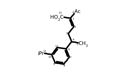 CC(=O)C(=CCC(C)c1cccc(C(C)C)c1)C(=O)O